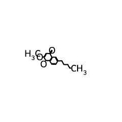 CCCCCc1ccc2c(c1)C(=O)C=C(OC)C2=O